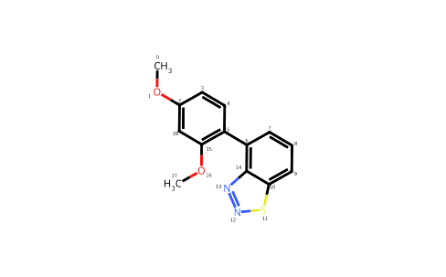 COc1ccc(-c2cccc3snnc23)c(OC)c1